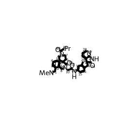 CNCc1ccccc1CN(CC(=O)Nc1ccc2c(c1)C[C@@]1(C2)C(=O)Nc2ncccc21)C(=O)C1(C)CCN(C(=O)C(C)C)CC1